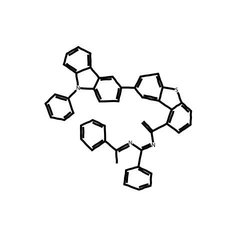 C=C(/N=C(\N=C(/C)c1ccccc1)c1ccccc1)c1cccc2sc3ccc(-c4ccc5c(c4)c4ccccc4n5-c4ccccc4)cc3c12